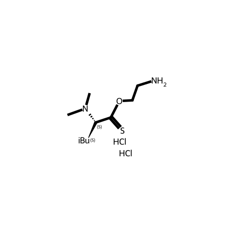 CC[C@H](C)[C@@H](C(=S)OCCN)N(C)C.Cl.Cl